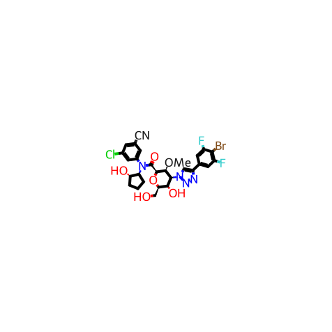 CO[C@@H]1[C@@H](n2cc(-c3cc(F)c(Br)c(F)c3)nn2)[C@@H](O)[C@@H](CO)O[C@H]1C(=O)N(c1cc(Cl)cc(C#N)c1)[C@H]1CCC[C@@H]1O